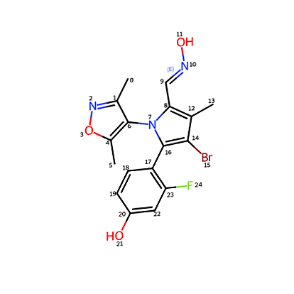 Cc1noc(C)c1-n1c(/C=N/O)c(C)c(Br)c1-c1ccc(O)cc1F